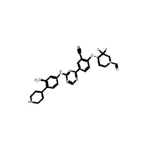 Cc1cc([AsH]c2ncnc(-c3ccc(O[C@H]4CCN(C=O)CC4(F)F)c(C#N)c3)n2)ccc1C1CCNCC1